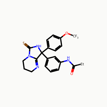 CCC(=O)Nc1cccc(C2(c3ccc(OC(F)(F)F)cc3)NC(=S)N3CCCN=C32)c1